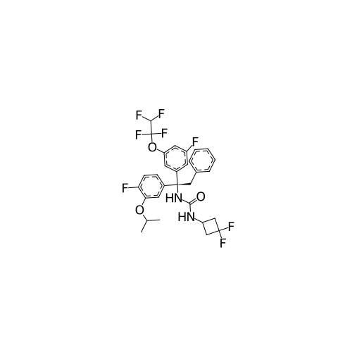 CC(C)Oc1cc([C@@](Cc2ccccc2)(NC(=O)NC2CC(F)(F)C2)c2cc(F)cc(OC(F)(F)C(F)F)c2)ccc1F